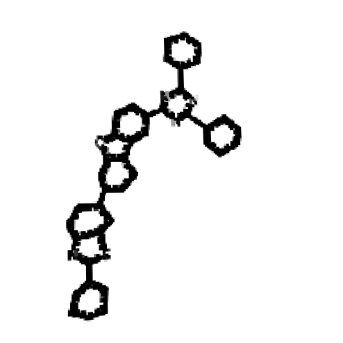 c1ccc(-c2nc(-c3ccccc3)nc(-c3ccc4oc5cc(-c6ccc7nc(-c8ccccc8)sc7c6)ccc5c4c3)n2)cc1